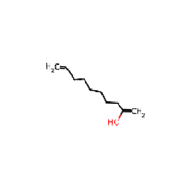 C=CCCCCCCC(=C)O